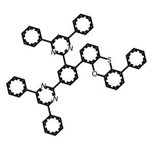 c1ccc(-c2cc(-c3ccccc3)nc(-c3ccc(-c4cccc5c4Oc4cccc(-c6ccccc6)c4S5)c(-c4nc(-c5ccccc5)cc(-c5ccccc5)n4)c3)n2)cc1